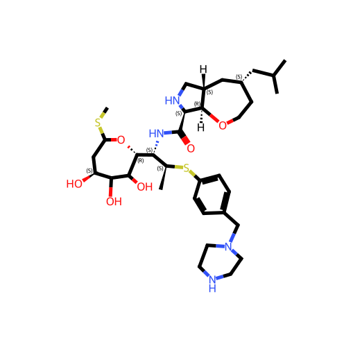 CSC1C[C@H](O)C(O)C(O)[C@@H]([C@H](NC(=O)[C@H]2NC[C@@H]3C[C@H](CC(C)C)CCO[C@H]32)[C@H](C)Sc2ccc(CN3CCNCC3)cc2)O1